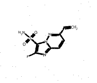 C=Cc1ccc2nc(F)c(S(N)(=O)=O)n2n1